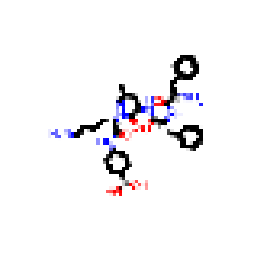 CC(C)CC(NC(=O)[C@@H](Cc1ccccc1)NC(=O)[C@H](N)Cc1ccccc1)C(=O)N[C@H](CCCCN)C(=O)NC1CCC(B(O)O)CC1